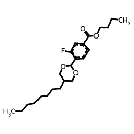 CCCCCCCCC1COC(c2ccc(C(=O)OCCCC)cc2F)OC1